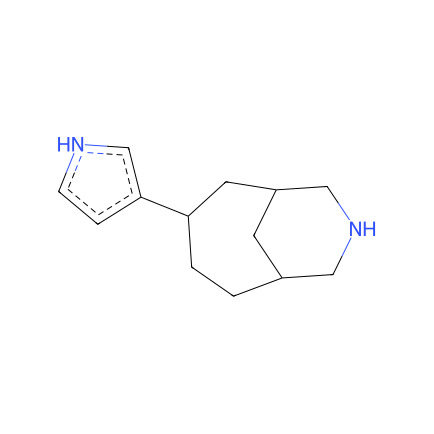 c1cc(C2CCC3CNCC(C3)C2)c[nH]1